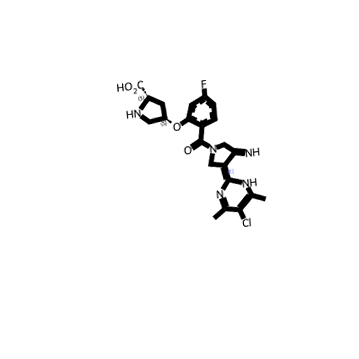 CC1=N/C(=C2\CN(C(=O)c3ccc(F)cc3O[C@@H]3CN[C@H](C(=O)O)C3)CC2=N)NC(C)=C1Cl